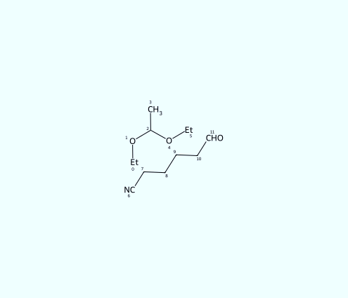 CCOC(C)OCC.N#CCCCCC=O